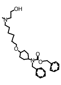 CN(CCO)CCCCCCOC1CCC(N(Cc2ccccc2)C(=O)OCc2ccccc2)CC1